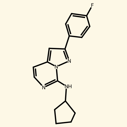 Fc1ccc(-c2cc3ccnc(NC4CCCC4)n3n2)cc1